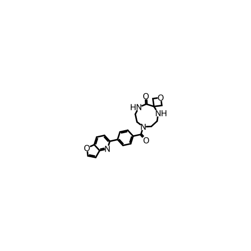 O=C(c1ccc(-c2ccc3occc3n2)cc1)N1CCNC(=O)C2(COC2)NCC1